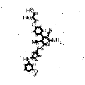 COc1cccc(Nc2nc(CSc3nc(N)c(C#N)c(-c4ccc(OC[C@H](O)CO)cc4)c3C#N)cs2)c1